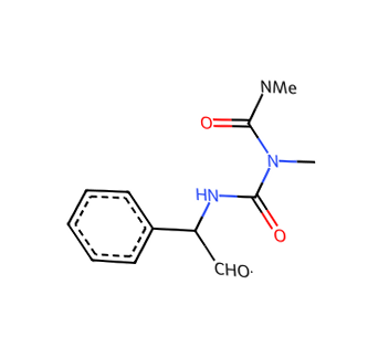 CNC(=O)N(C)C(=O)NC([C]=O)c1ccccc1